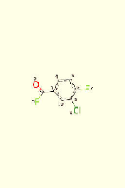 O=C(F)c1ccc(F)c(Cl)c1